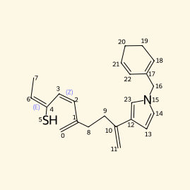 C=C(/C=C\C(S)=C/C)CCC(=C)c1ccn(CC2=CCCC=C2)c1